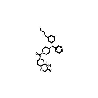 O=C1COC2CCN(C(=O)N3CCC([C@H](c4ccccc4)c4cccc(OCCF)c4)CC3)C[C@H]2N1